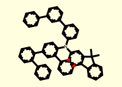 CC1(C)c2ccccc2-c2ccc(N(c3cccc(-c4cccc(-c5ccccc5)c4)c3)c3ccc(-c4ccccc4-c4ccccc4)cc3-c3ccccc3)cc21